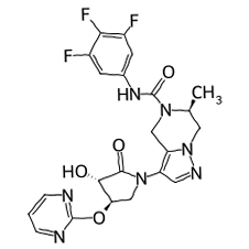 C[C@H]1Cn2ncc(N3C[C@@H](Oc4ncccn4)[C@H](O)C3=O)c2CN1C(=O)Nc1cc(F)c(F)c(F)c1